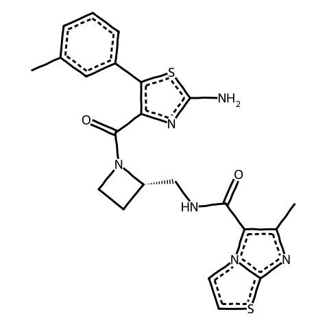 Cc1cccc(-c2sc(N)nc2C(=O)N2CC[C@H]2CNC(=O)c2c(C)nc3sccn23)c1